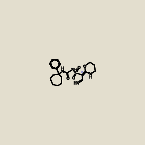 N=C/C(=C1\NCCCO1)S(=O)(=O)NC(=O)NC1(c2ccccc2)CCCCCC1